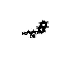 OC[C@H](O)COc1ccc2ccccc2c1